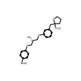 CC(=O)Nc1ccc(OC[C@H](O)COc2cccc(CC3(C(=O)O)CCCO3)c2)cc1